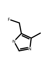 CC1=C(CF)[N][C]=N1